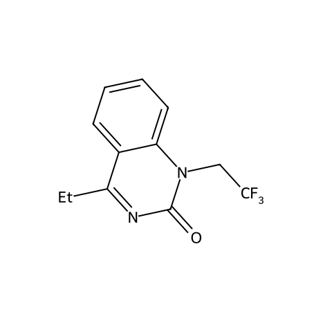 CCc1nc(=O)n(CC(F)(F)F)c2ccccc12